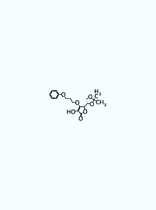 CC1(C)OC[C@@H]([C@H]2OC(=O)C(O)=C2OCCCOc2ccccc2)O1